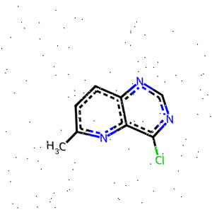 Cc1ccc2ncnc(Cl)c2n1